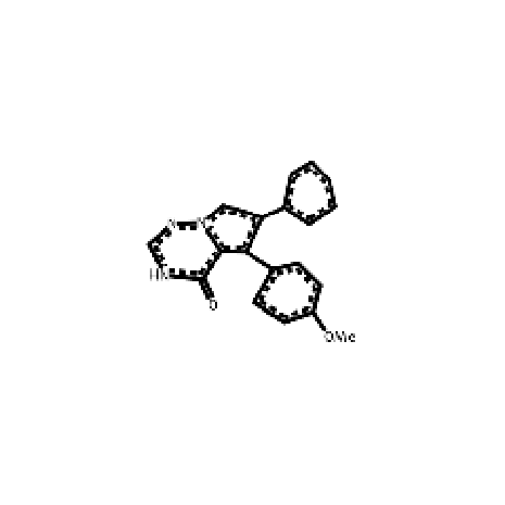 COc1ccc(-c2c(-c3ccccc3)cn3nc[nH]c(=O)c23)cc1